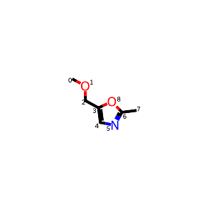 COCc1cnc(C)o1